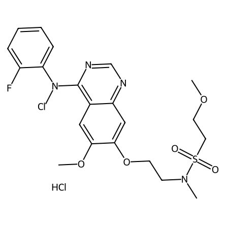 COCCS(=O)(=O)N(C)CCOc1cc2ncnc(N(Cl)c3ccccc3F)c2cc1OC.Cl